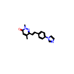 Cc1cc(=O)n(C)nc1/C=C/c1ccc(-n2ccnc2)cc1